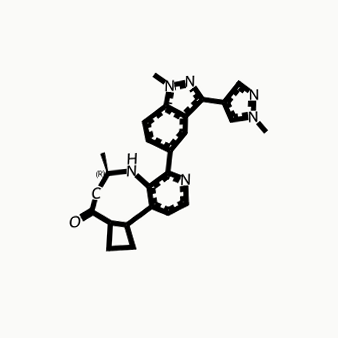 C[C@@H]1CC(=O)C2CCC2c2ccnc(-c3ccc4c(c3)c(-c3cnn(C)c3)nn4C)c2N1